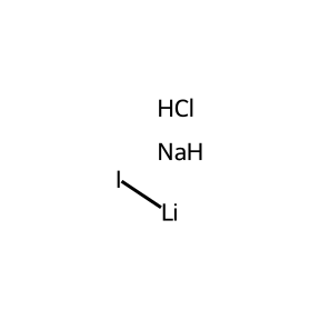 Cl.[Li][I].[NaH]